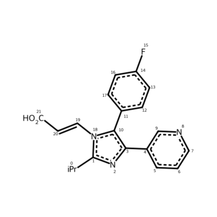 CC(C)c1nc(-c2cccnc2)c(-c2ccc(F)cc2)n1C=CC(=O)O